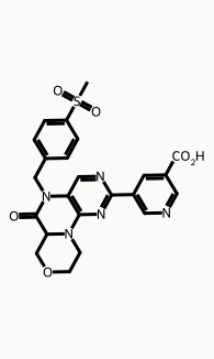 CS(=O)(=O)c1ccc(CN2C(=O)C3COCCN3c3nc(-c4cncc(C(=O)O)c4)ncc32)cc1